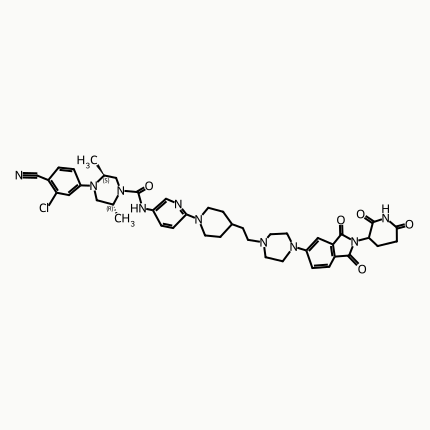 C[C@@H]1CN(c2ccc(C#N)c(Cl)c2)[C@@H](C)CN1C(=O)Nc1ccc(N2CCC(CCN3CCN(c4ccc5c(c4)C(=O)N(C4CCC(=O)NC4=O)C5=O)CC3)CC2)nc1